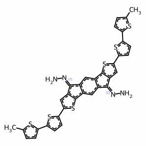 Cc1ccc(-c2ccc(-c3cc4/c(=N\N)c5cc6c(cc5c4s3)/c(=N/N)c3cc(-c4ccc(-c5ccc(C)s5)s4)sc36)s2)s1